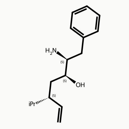 C=C[C@@H](C[C@H](O)[C@@H](N)Cc1ccccc1)C(C)C